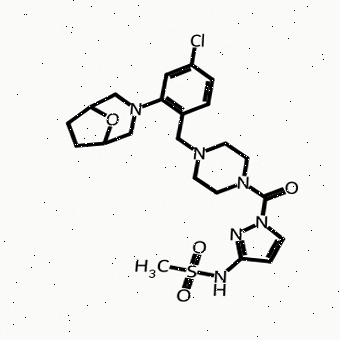 CS(=O)(=O)Nc1ccn(C(=O)N2CCN(Cc3ccc(Cl)cc3N3CC4CCC(C3)O4)CC2)n1